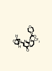 O=C(CN1c2nc(N3C[C@@H]4C[C@H]3CO4)cc(=O)n2CC[C@H]1C(F)(F)F)N1CCOCC1